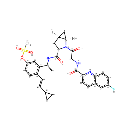 C[C@H](NC(=O)[C@@H]1C[C@H]2C[C@H]2N1C(=O)CNC(=O)c1ccc2cc(F)ccc2n1)c1cc(OS(=O)(=O)C(F)(F)F)ccc1/C=C/C1CC1